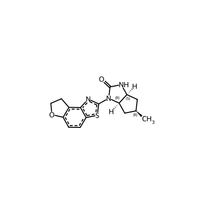 C[C@@H]1C[C@@H]2NC(=O)N(c3nc4c5c(ccc4s3)OCC5)[C@@H]2C1